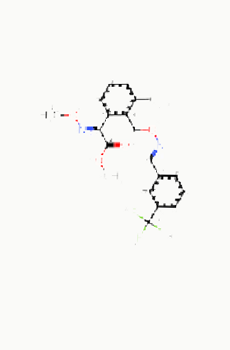 CO/N=C(/C(=O)OC)c1cccc(C)c1CO/N=C/c1cccc(C(F)(F)F)c1